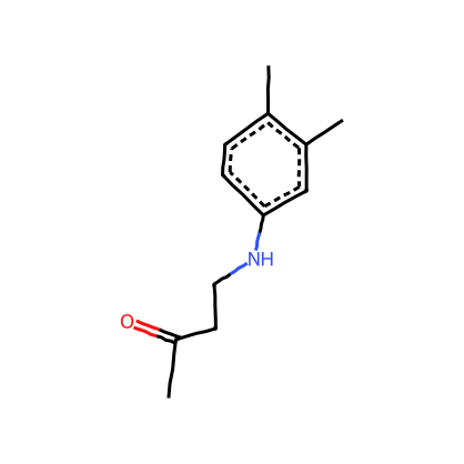 CC(=O)CCNc1ccc(C)c(C)c1